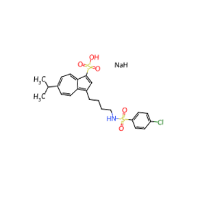 CC(C)c1ccc2c(CCCCNS(=O)(=O)c3ccc(Cl)cc3)cc(S(=O)(=O)O)c-2cc1.[NaH]